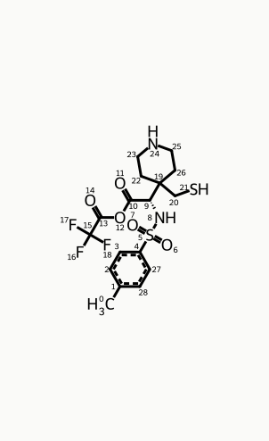 Cc1ccc(S(=O)(=O)N[C@H](C(=O)OC(=O)C(F)(F)F)C2(CS)CCNCC2)cc1